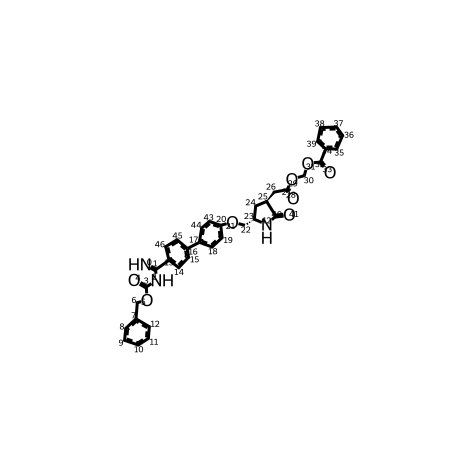 N=C(NC(=O)OCc1ccccc1)c1ccc(-c2ccc(OC[C@@H]3C[C@@H](CC(=O)OCOC(=O)c4ccccc4)C(=O)N3)cc2)cc1